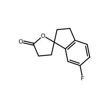 O=C1CCC2(CCc3ccc(F)cc32)O1